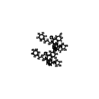 Cc1ccc2c(c1)c(=O)n(C/C=C/c1ccccc1)c1nnc(N3CCCC3)n21.Nc1ccc2c(c1)c(=O)n(C/C=C/c1ccccc1)c1nnc(N3CCCC3)n21